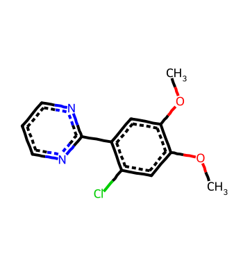 COc1cc(Cl)c(-c2ncccn2)cc1OC